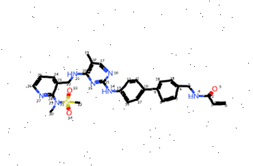 C=CC(=O)NCc1ccc(-c2ccc(Nc3ncc(C)c(NCc4cccnc4N(C)S(C)(=O)=O)n3)cc2)cc1